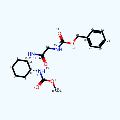 CC(C)(C)OC(=O)N[C@@H]1CCCC[C@@H]1NC(=O)CNC(=O)OCc1ccccc1